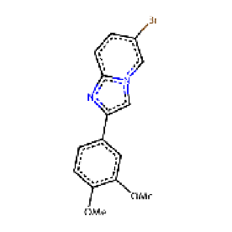 COc1ccc(-c2cn3cc(Br)ccc3n2)cc1OC